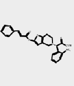 COC(=O)[C@H](c1ccccc1C)N1CCc2sc(OC(=O)/C=C/c3ccccc3)cc2C1